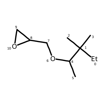 CCC(C)(C)C(C)OCC1CO1